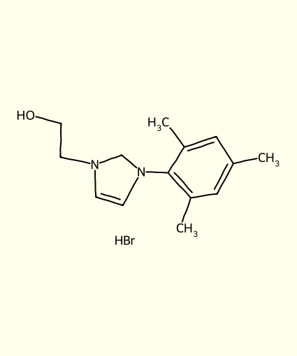 Br.Cc1cc(C)c(N2C=CN(CCO)C2)c(C)c1